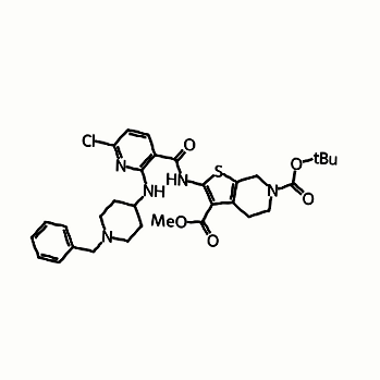 COC(=O)c1c(NC(=O)c2ccc(Cl)nc2NC2CCN(Cc3ccccc3)CC2)sc2c1CCN(C(=O)OC(C)(C)C)C2